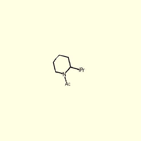 CC(=O)N1CCCCC1C(C)C